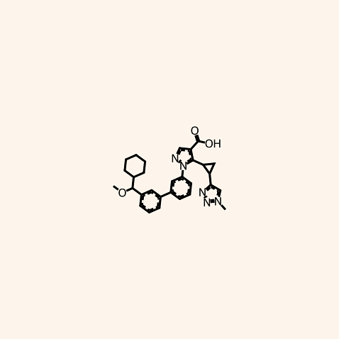 COC(c1cccc(-c2cccc(-n3ncc(C(=O)O)c3C3CC3c3cn(C)nn3)c2)c1)C1CCCCC1